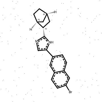 Brc1ccc2cc(-c3cnc([C@H]4C[C@@H]5CC[C@H]4C5)[nH]3)ccc2c1